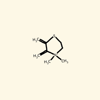 C=C1SCC[N+](C)(C)C1=C